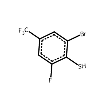 Fc1cc(C(F)(F)F)cc(Br)c1S